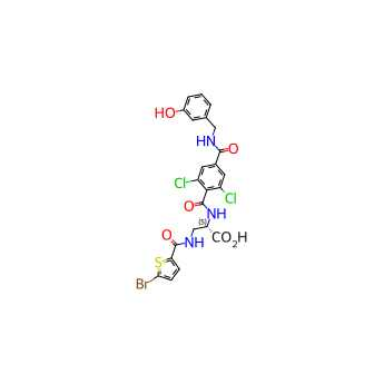 O=C(NCc1cccc(O)c1)c1cc(Cl)c(C(=O)N[C@@H](CNC(=O)c2ccc(Br)s2)C(=O)O)c(Cl)c1